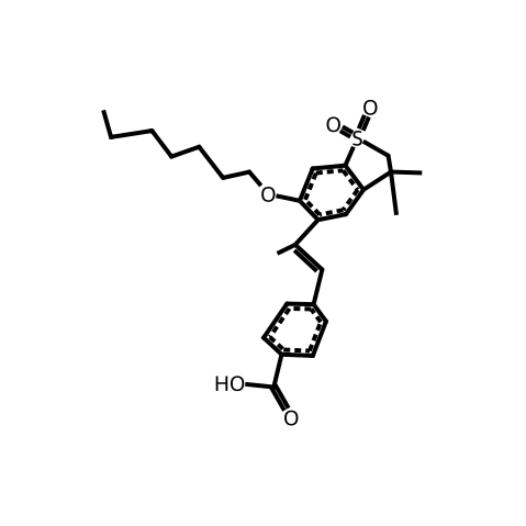 CCCCCCCOc1cc2c(cc1C(C)=Cc1ccc(C(=O)O)cc1)C(C)(C)CS2(=O)=O